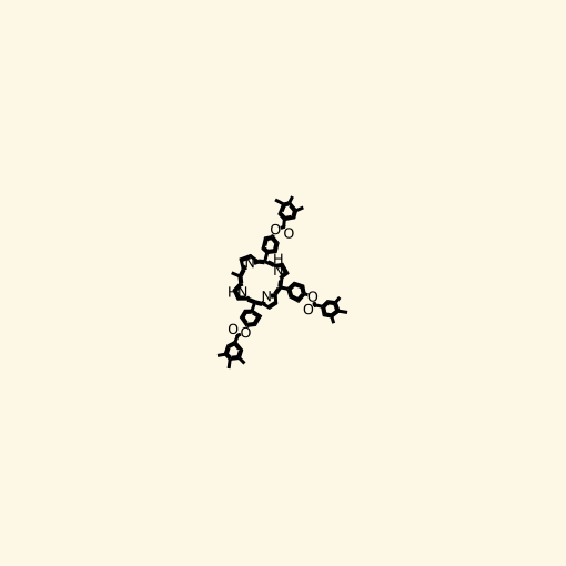 Cc1cc(C(=O)Oc2ccc(-c3c4nc(c(-c5ccc(OC(=O)c6cc(C)c(C)c(C)c6)cc5)c5ccc([nH]5)c(-c5ccc(OC(=O)c6cc(C)c(C)c(C)c6)cc5)c5nc(c(C)c6ccc3[nH]6)C=C5)C=C4)cc2)cc(C)c1C